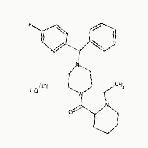 CCN1CCCCC1C(=O)N1CCN(C(c2ccccc2)c2ccc(F)cc2)CC1.Cl.Cl